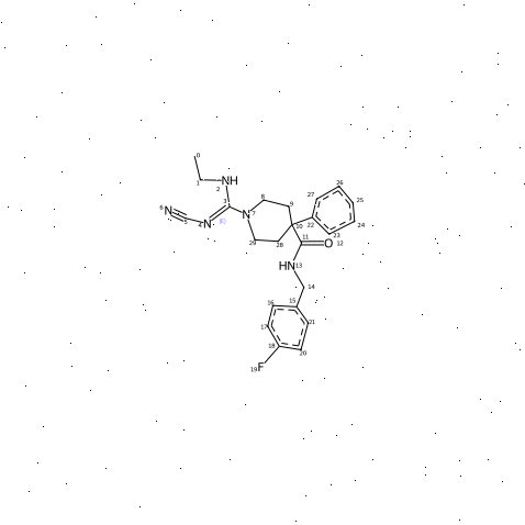 CCN/C(=N\C#N)N1CCC(C(=O)NCc2ccc(F)cc2)(c2ccccc2)CC1